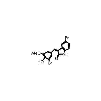 COc1cc(C=C2C(=O)Nc3ccc(Br)cc32)cc(Br)c1O